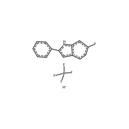 F[B-](F)(F)F.Fc1ccc2cc(-c3ccccc3)[nH]c2c1.[H+]